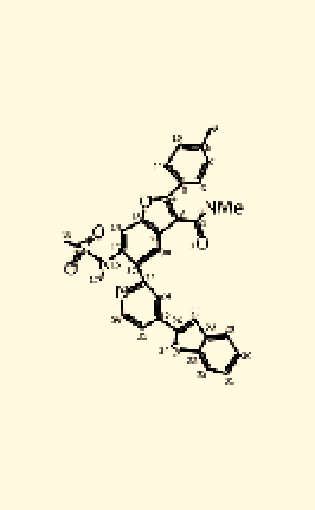 CNC(=O)c1c(-c2ccc(C)cc2)oc2cc(N(C)S(C)(=O)=O)c(-c3cc(-c4cc5ccccc5s4)ccn3)cc12